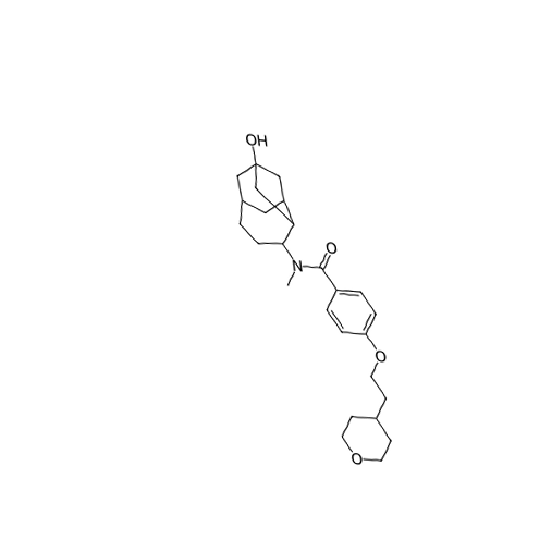 CN(C(=O)c1ccc(OCCC2CCOCC2)cc1)C1CCC2CC3CC(O)(C2)CC31